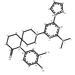 CN(C)c1nc(N2CCC3(CCCC(=O)N3c3ccc(F)c(F)c3)CC2)cc(-n2cccn2)n1